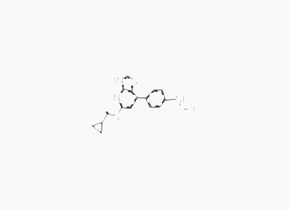 CCSNc1ccc(-c2cc(NC(=O)C3CC3)nc3[nH]cnc23)cc1